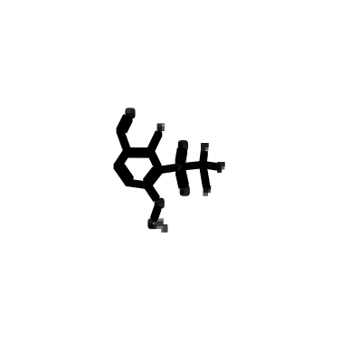 COc1ccc(C=O)c(F)c1S(=O)(=O)C(F)(F)F